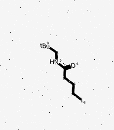 CC(C)(C)CNC(=O)CCCI